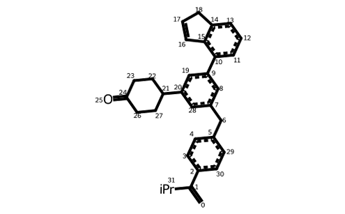 C=C(c1ccc(Cc2cc(-c3cccc4c3C=CC4)cc(C3CCC(=O)CC3)c2)cc1)C(C)C